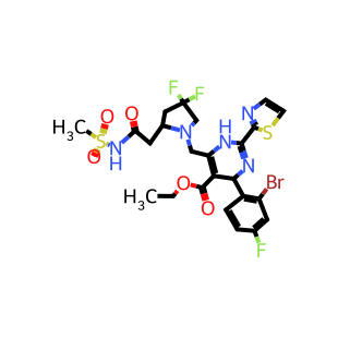 CCOC(=O)C1=C(CN2CC(F)(F)CC2CC(=O)NS(C)(=O)=O)NC(c2nccs2)=NC1c1ccc(F)cc1Br